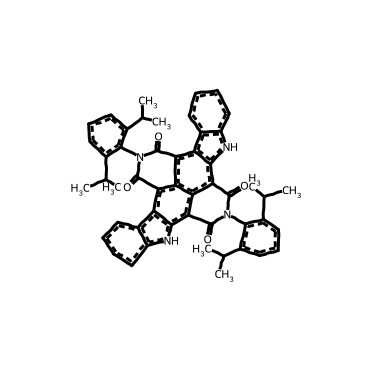 CC(C)c1cccc(C(C)C)c1N1C(=O)c2c3[nH]c4ccccc4c3c3c4c(c5c([nH]c6ccccc65)c(c24)C1=O)C(=O)N(c1c(C(C)C)cccc1C(C)C)C3=O